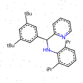 CC(C)c1cccc(C(C)C)c1NC(c1cc(C(C)(C)C)cc(C(C)(C)C)c1)c1ccccn1